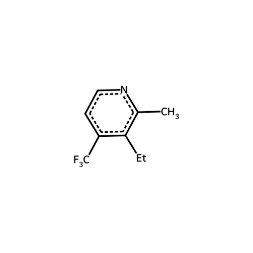 CCc1c(C(F)(F)F)ccnc1C